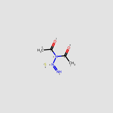 CC(=O)N(N=N)C(C)=O.[S]